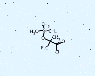 CC(O[Si](C)(C)C)(C(=O)Cl)C(F)(F)F